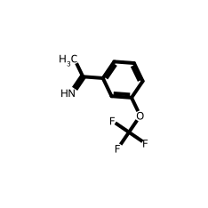 CC(=N)c1cccc(OC(F)(F)F)c1